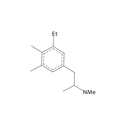 CCc1cc(CC(C)NC)cc(C)c1C